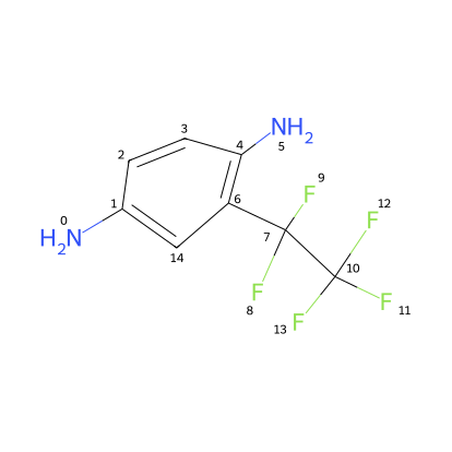 Nc1ccc(N)c(C(F)(F)C(F)(F)F)c1